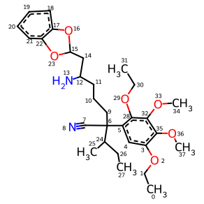 CCOc1cc(C(C#N)(CCCC(N)CC2Oc3ccccc3O2)C(C)CC)c(OCC)c(OC)c1OC